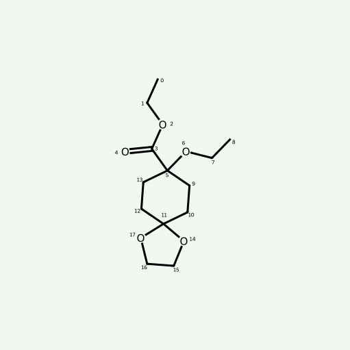 CCOC(=O)C1(OCC)CCC2(CC1)OCCO2